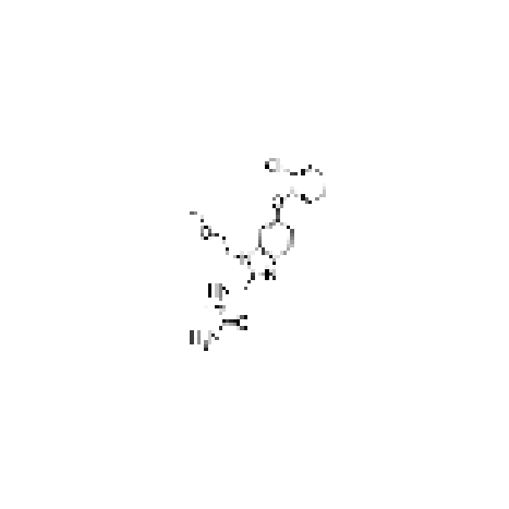 CCOCCn1c(CN[C@@H](C)C(N)=O)nc2ccc(Oc3ccccc3Cl)cc21